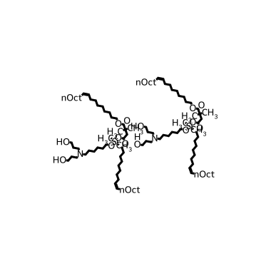 CCCCCCCC/C=C\CCCCCCCCOC(=O)C(C)(C)CC(OCCCCCCCC/C=C\CCCCCCCC)O[Si](C)(C)OCCCCCCN(CCCO)CCCO.CCCCCCCC/C=C\CCCCCCCCOC(=O)C(C)(C)CC(OCCCCCCCC/C=C\CCCCCCCC)O[Si](C)(C)OCCCCCCN(CCCO)CCCO